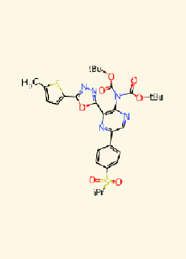 Cc1ccc(-c2nnc(-c3nc(-c4ccc(S(=O)(=O)C(C)C)cc4)cnc3N(C(=O)OC(C)(C)C)C(=O)OC(C)(C)C)o2)s1